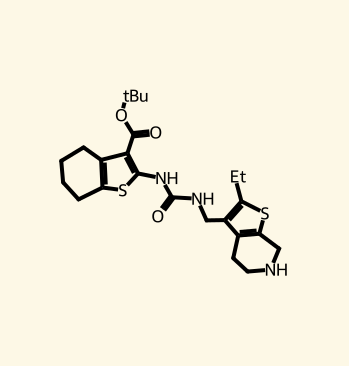 CCc1sc2c(c1CNC(=O)Nc1sc3c(c1C(=O)OC(C)(C)C)CCCC3)CCNC2